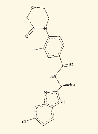 CCCC[C@H](NC(=O)c1ccc(N2CCOCC2=O)c(C)c1)c1nc2cc(Cl)ccc2[nH]1